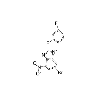 O=[N+]([O-])c1cc(Br)cc2c1ncn2Cc1ccc(F)cc1F